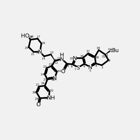 CC(C)(C)[C@H]1CCc2nc3sc(C(=O)N[C@H](CCN4CCC(O)CC4)c4ccc(-c5ccc(=O)[nH]c5)nc4)nc3cc2C1